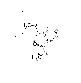 CCCc1ccccc1C(=O)CC